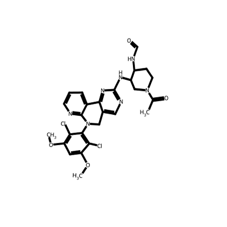 COc1cc(OC)c(Cl)c(N2Cc3cnc(NC4CN(C(C)=O)CCC4NC=O)nc3-c3cccnc32)c1Cl